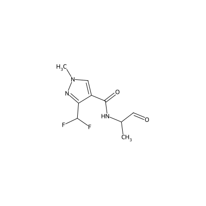 CC(C=O)NC(=O)c1cn(C)nc1C(F)F